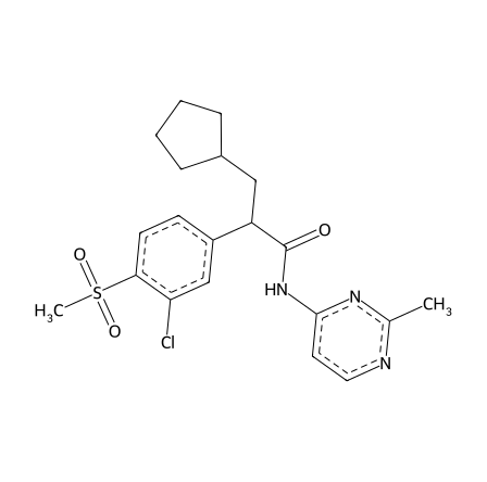 Cc1nccc(NC(=O)C(CC2CCCC2)c2ccc(S(C)(=O)=O)c(Cl)c2)n1